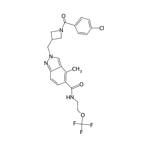 Cc1c(C(=O)NCCOC(F)(F)F)ccc2nn(CC3CN(C(=O)c4ccc(Cl)cc4)C3)cc12